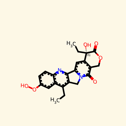 CCc1c2c(nc3ccc(OO)cc13)-c1cc3c(c(=O)n1C2)COC(=O)[C@]3(O)CC